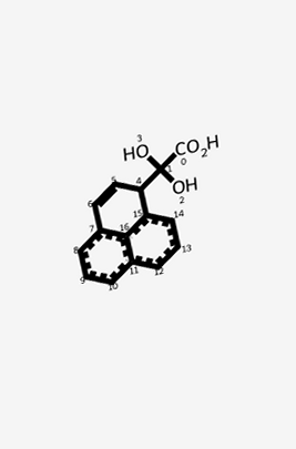 O=C(O)C(O)(O)C1C=Cc2cccc3cccc1c23